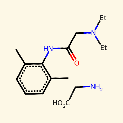 CCN(CC)CC(=O)Nc1c(C)cccc1C.NCC(=O)O